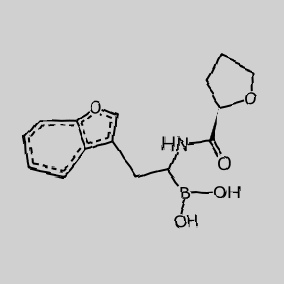 O=C(NC(Cc1coc2ccccc12)B(O)O)[C@H]1CCCO1